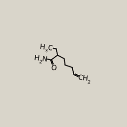 C=CCCCC(CC)C(N)=O